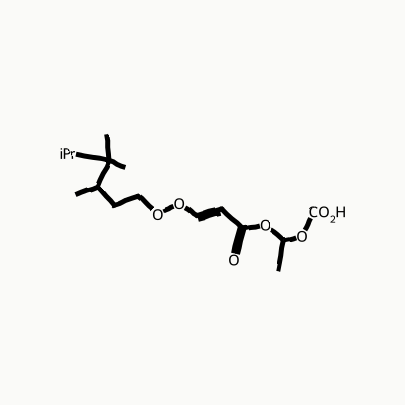 CC(OC(=O)O)OC(=O)C=COOCCC(C)C(C)(C)C(C)C